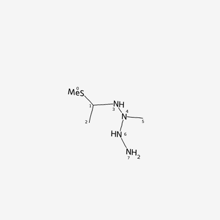 CSC(C)NN(C)NN